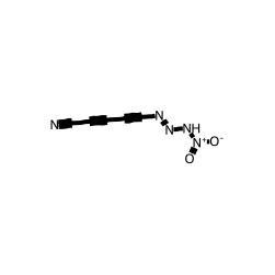 N#CC#CC#C/N=N/N[N+](=O)[O-]